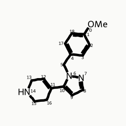 COc1ccc(Cn2nccc2C2=CCNCC2)cc1